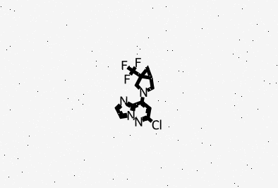 FC(F)(F)C12CC1CN(c1cc(Cl)nn3ccnc13)C2